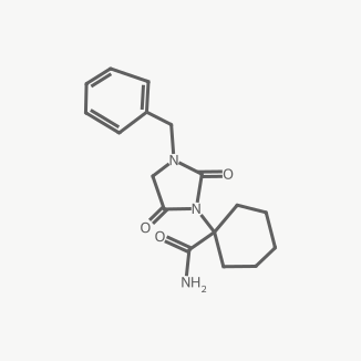 NC(=O)C1(N2C(=O)CN(Cc3ccccc3)C2=O)CCCCC1